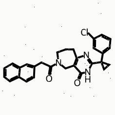 O=C(Cc1ccc2ccccc2c1)N1CCCc2nc(C3(c4cccc(Cl)c4)CC3)[nH]c(=O)c2C1